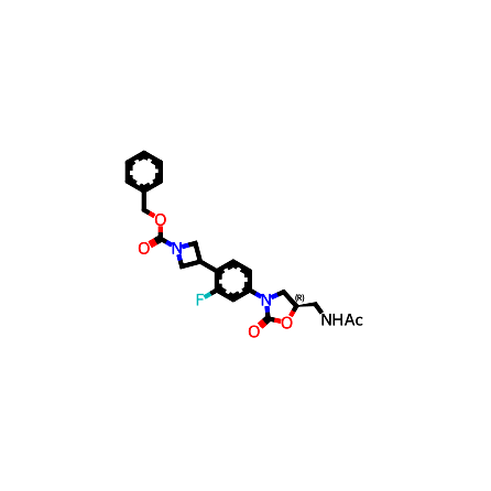 CC(=O)NC[C@@H]1CN(c2ccc(C3CN(C(=O)OCc4ccccc4)C3)c(F)c2)C(=O)O1